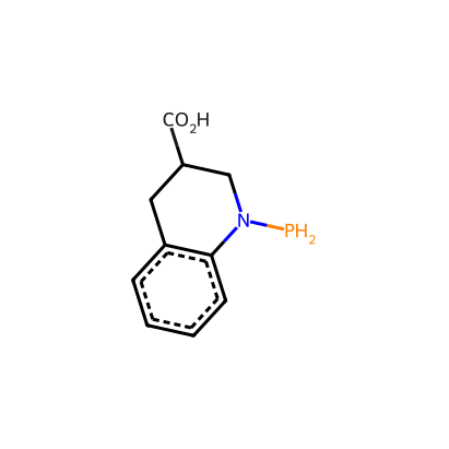 O=C(O)C1Cc2ccccc2N(P)C1